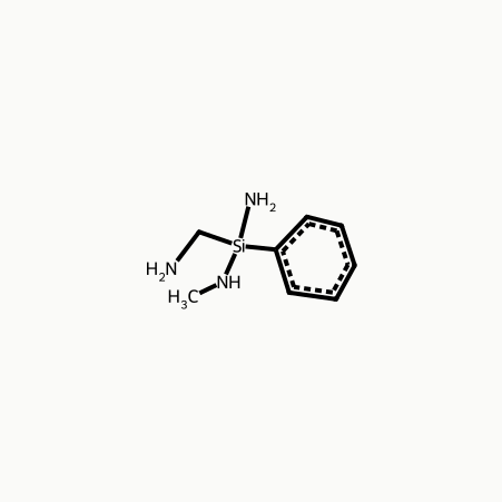 CN[Si](N)(CN)c1ccccc1